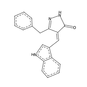 O=C1NN=C(Cc2ccccc2)C1=Cc1c[nH]c2ccccc12